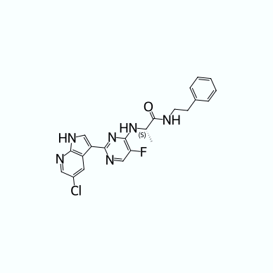 C[C@H](Nc1nc(-c2c[nH]c3ncc(Cl)cc23)ncc1F)C(=O)NCCc1ccccc1